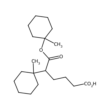 CC1(OC(=O)C(CCCC(=O)O)C2(C)CCCCC2)CCCCC1